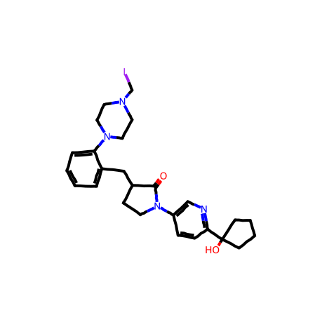 O=C1C(Cc2ccccc2N2CCN(CI)CC2)CCN1c1ccc(C2(O)CCCC2)nc1